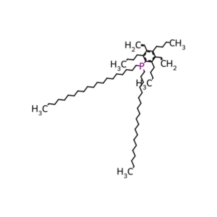 C=Cc1c(CCCC)c(C=C)c(CCCC)c(P(CCCCCCCCCCCCCCCCCCCC)CCCCCCCCCCCCCCCCCCCC)c1CCCC